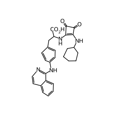 O=C(O)C(Cc1ccc(Nc2nccc3ccccc23)cc1)Nc1c(NC2CCCCC2)c(=O)c1=O